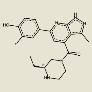 CC[C@H]1CN(C(=O)c2cc(-c3ccc(O)c(F)c3)nc3[nH]nc(C)c23)CCN1